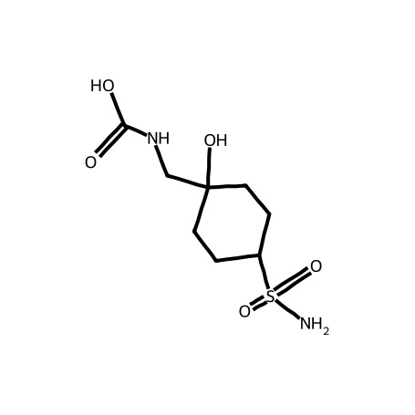 NS(=O)(=O)C1CCC(O)(CNC(=O)O)CC1